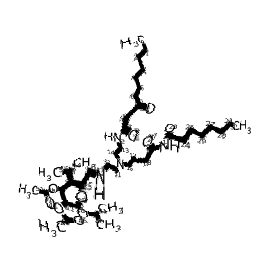 CCCCCCCC(=O)CC(=O)NCCN(CCCC(=O)NC(=O)CCCCCCC)CCNCC1OC(OC(C)C)C(OC(C)=O)C(OC(C)=O)C1C(C)C